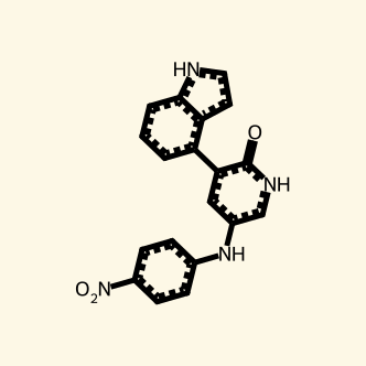 O=c1[nH]cc(Nc2ccc([N+](=O)[O-])cc2)cc1-c1cccc2[nH]ccc12